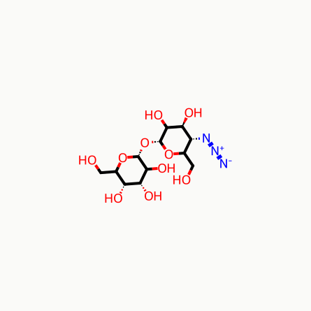 [N-]=[N+]=N[C@@H]1C(CO)O[C@H](O[C@H]2OC(CO)[C@@H](O)[C@@H](O)C2O)C(O)[C@H]1O